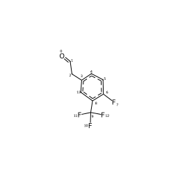 O=CCc1ccc(F)c(C(F)(F)F)c1